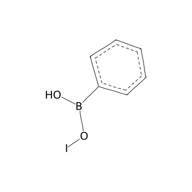 OB(OI)c1ccccc1